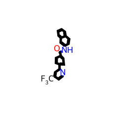 O=C(Nc1ccc2ccccc2c1)c1ccc(-c2cc(C(F)(F)F)ccn2)cc1